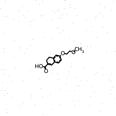 COCCOc1ccc2c(c1)CCC(C(=O)O)=C2